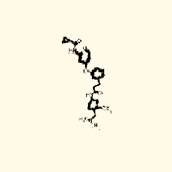 CN(C)Cc1ccc(NC(=O)CCc2cccc(Oc3ccnc(NC(=O)C4CC4)c3)c2)cc1C(F)(F)F